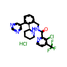 Cl.O=C(NCc1cccc(-c2cncnc2)c1[C@@H]1CCCCN1)c1nccc(C(F)(F)F)c1Cl